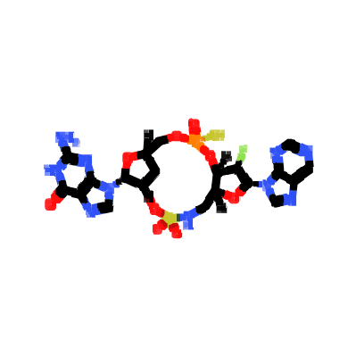 Nc1nc2c(ncn2[C@@H]2O[C@@H]3CO[P@](=O)(S)O[C@H]4[C@@H](F)[C@H](n5cnc6cncnc65)O[C@@H]4CNS(=O)(=O)O[C@@H]2C3)c(=O)[nH]1